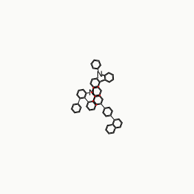 c1ccc(-c2ccccc2-c2c(-c3ccccc3)cccc2N(c2ccc(-c3ccc(-c4cccc5ccccc45)cc3)cc2)c2ccc3c(c2)c2ccccc2n3-c2ccccc2)cc1